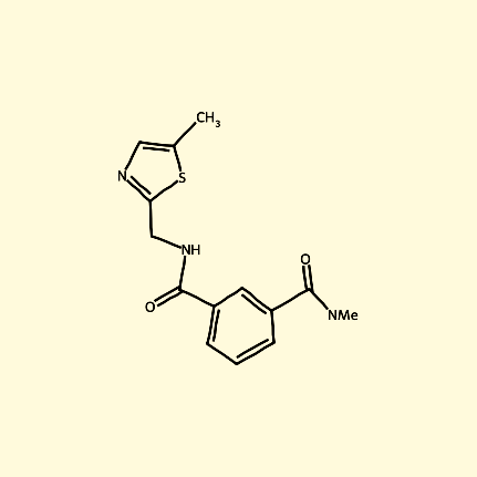 CNC(=O)c1cccc(C(=O)NCc2ncc(C)s2)c1